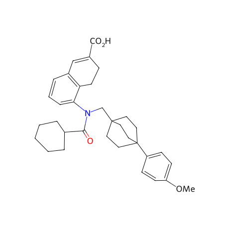 COc1ccc(C23CCC(CN(C(=O)C4CCCCC4)c4cccc5c4CCC(C(=O)O)=C5)(CC2)CC3)cc1